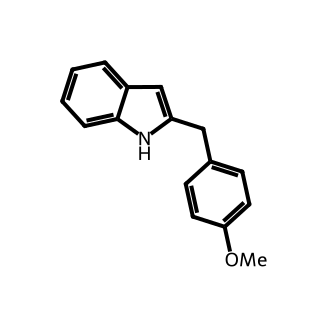 COc1ccc(Cc2cc3ccccc3[nH]2)cc1